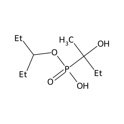 CCC(CC)OP(=O)(O)C(C)(O)CC